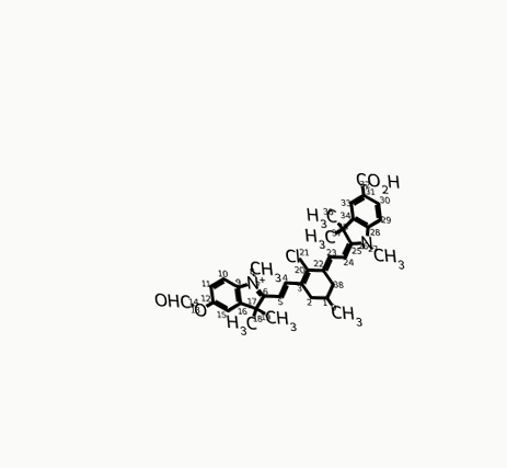 CC1CC(C=CC2=[N+](C)c3ccc(OC=O)cc3C2(C)C)=C(Cl)/C(=C/C=C2N(C)c3ccc(C(=O)O)cc3C2(C)C)C1